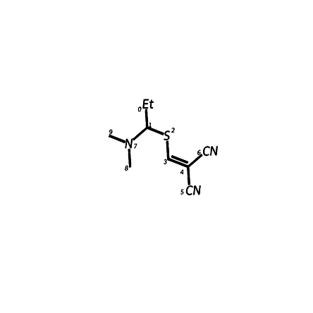 CCC(SC=C(C#N)C#N)N(C)C